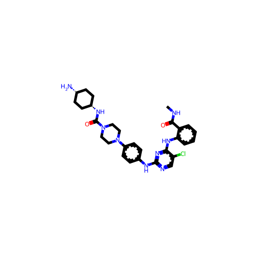 CNC(=O)c1ccccc1Nc1nc(Nc2ccc(N3CCN(C(=O)N[C@H]4CC[C@@H](N)CC4)CC3)cc2)ncc1Cl